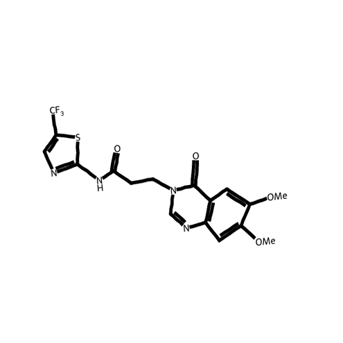 COc1cc2ncn(CCC(=O)Nc3ncc(C(F)(F)F)s3)c(=O)c2cc1OC